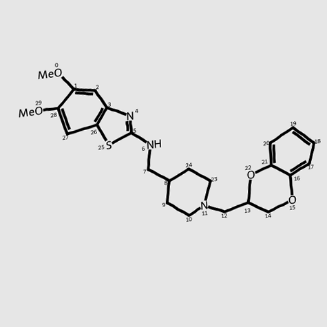 COc1cc2nc(NCC3CCN(CC4COc5ccccc5O4)CC3)sc2cc1OC